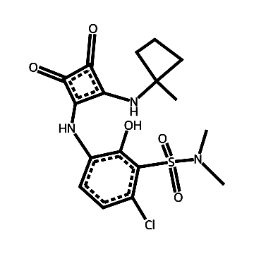 CN(C)S(=O)(=O)c1c(Cl)ccc(Nc2c(NC3(C)CCC3)c(=O)c2=O)c1O